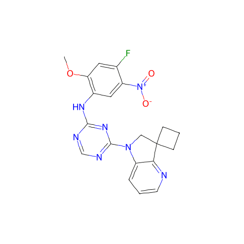 COc1cc(F)c([N+](=O)[O-])cc1Nc1ncnc(N2CC3(CCC3)c3ncccc32)n1